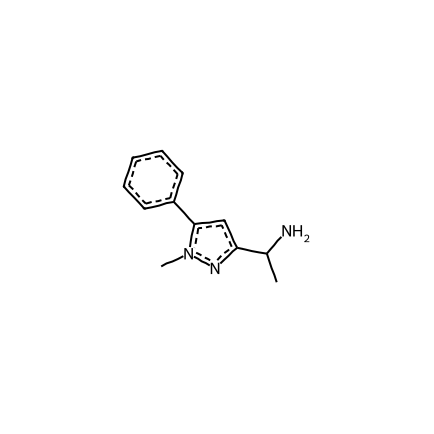 CC(N)c1cc(-c2ccccc2)n(C)n1